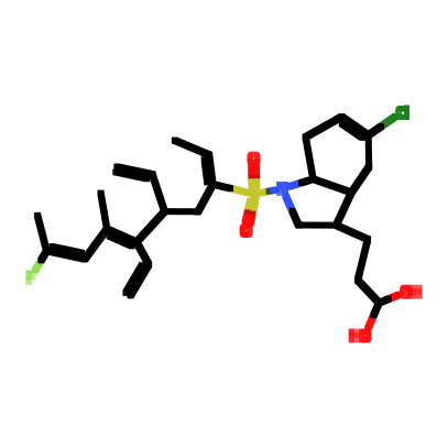 C=C/C(=C(C)\C=C(/C)F)C(C=C)C/C(=C\C)S(=O)(=O)N1CC(CCC(O)O)C2CC(Cl)=CCC21